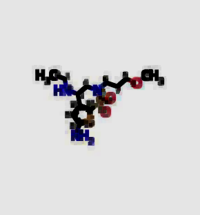 CCN[C@H]1CN(CCCOC)S(=O)(=O)c2sc(N)cc21